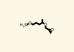 CC(CCCO[SiH3])OCC1CO1